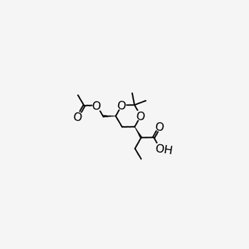 CCC(C(=O)O)[C@H]1C[C@@H](COC(C)=O)OC(C)(C)O1